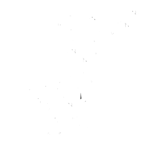 Cn1ncc2cnc(-c3cn([C@H]4C[C@H](CN(C(=O)OC(C)(C)C)C(=O)OC(C)(C)C)C4)nc3C3CC3)cc21